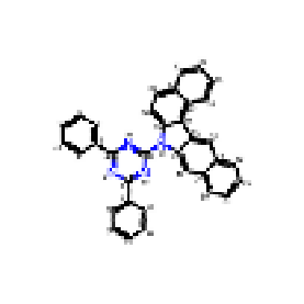 c1ccc(-c2nc(-c3ccccc3)nc(-n3c4cc5ccccc5cc4c4c5ccccc5ccc43)n2)cc1